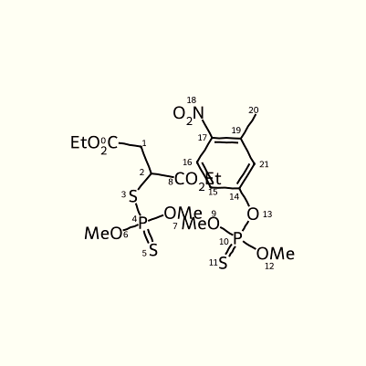 CCOC(=O)CC(SP(=S)(OC)OC)C(=O)OCC.COP(=S)(OC)Oc1ccc([N+](=O)[O-])c(C)c1